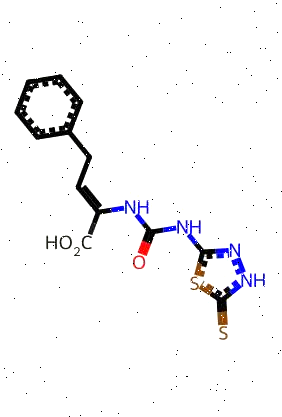 O=C(NC(=CCc1ccccc1)C(=O)O)Nc1n[nH]c(=S)s1